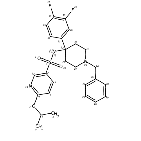 CC(C)Oc1ccc(S(=O)(=O)NC2(c3ccc(F)c(F)c3)CCN(Cc3ccccc3)CC2)cn1